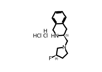 Cl.Cl.F[C@@H]1CCN(C[C@@H]2Cc3ccccc3CN2)C1